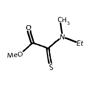 CCN(C)C(=S)C(=O)OC